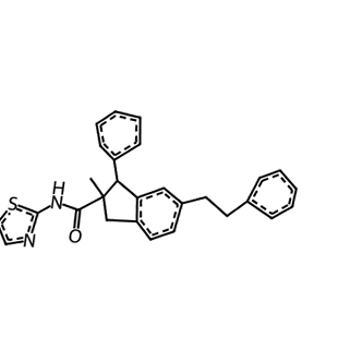 CC1(C(=O)Nc2nccs2)Cc2ccc(CCc3ccccc3)cc2C1c1ccccc1